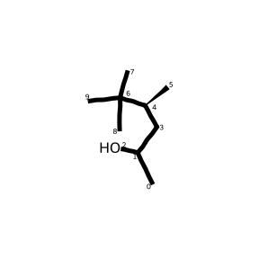 CC(O)C[C@H](C)C(C)(C)C